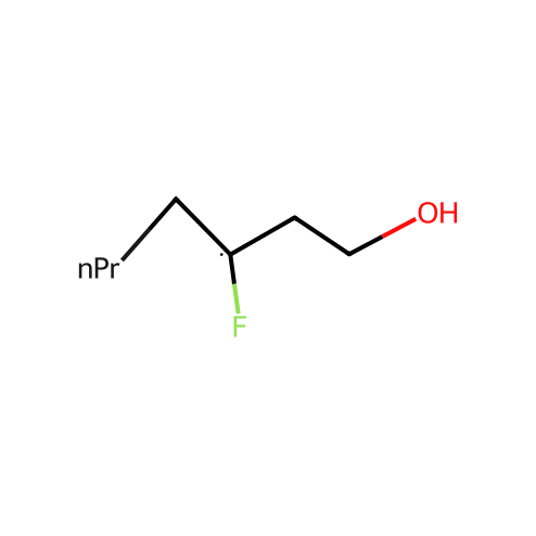 CCCC[C](F)CCO